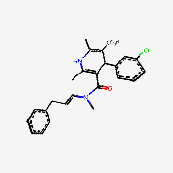 CC1=C(C(=O)O)C(c2cccc(Cl)c2)C(C(=O)N(C)C=CCc2ccccc2)=C(C)N1